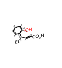 CCC(C#CC(=O)O)c1ccccc1O